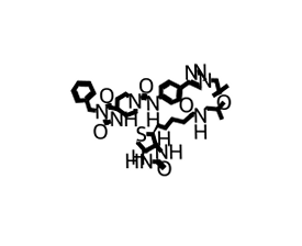 CC(CNC(=O)CCCC[C@@H]1SC[C@@H]2NC(=O)N[C@@H]21)OC(C)(C)Cn1cc(-c2ccc(NC(=O)N3CCC4(CC3)NC(=O)N(Cc3ccccc3)C4=O)cc2)nn1